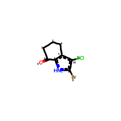 O=C1CCCc2c1[nH]c(Br)c2Cl